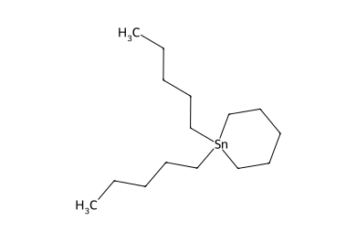 CCCC[CH2][Sn]1([CH2]CCCC)[CH2]CCC[CH2]1